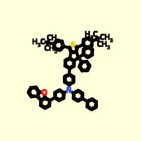 CC(C)(C)c1ccc(-c2sc(-c3ccc(C(C)(C)C)cc3)c3c2-c2ccc(-c4ccc(N(c5ccc(-c6ccccc6)cc5)c5ccc(-c6cccc7c6oc6ccccc67)cc5)cc4)cc2C3(c2ccccc2)c2ccccc2)cc1